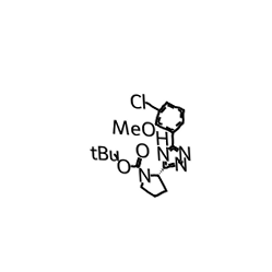 COc1c(Cl)cccc1-c1nnc([C@@H]2CCCN2C(=O)OC(C)(C)C)[nH]1